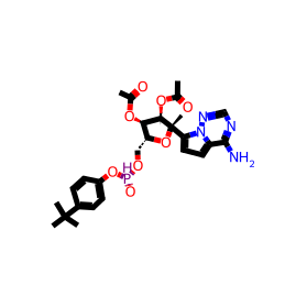 CC(=O)O[C@H]1[C@@H](OC(C)=O)[C@](C)(c2ccc3c(N)ncnn23)O[C@@H]1CO[PH](=O)Oc1ccc(C(C)(C)C)cc1